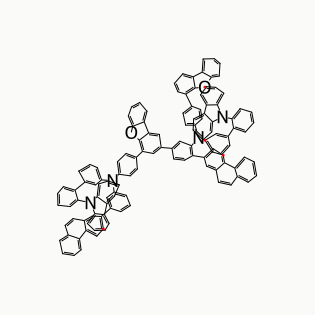 c1cc(-c2ccc3c(ccc4ccccc43)c2)cc(N(c2ccc(-c3cc(-c4ccc(-c5ccc6c(ccc7ccccc76)c5)c(N(c5ccc(-c6cccc7c6oc6ccccc67)cc5)c5cccc(-c6ccccc6-n6c7ccccc7c7ccccc76)c5)c4)cc4c3oc3ccccc34)cc2)c2cccc(-c3ccccc3-n3c4ccccc4c4ccccc43)c2)c1